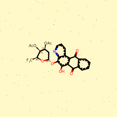 CC(=O)O[C@H]1[C@@H](OC(C)=O)C[C@H](Oc2c(O)c3c(c4cccnc24)C(=O)c2ccccc2C3=O)O[C@H]1C(F)(F)F